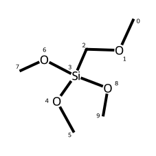 COC[Si](OC)(OC)OC